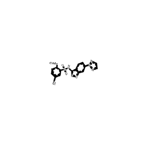 CCc1ccc(OC)c(S(=O)(=O)Nc2noc3cc(-n4nccn4)ccc23)c1